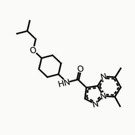 Cc1cc(C)n2ncc(C(=O)NC3CCC(OCC(C)C)CC3)c2n1